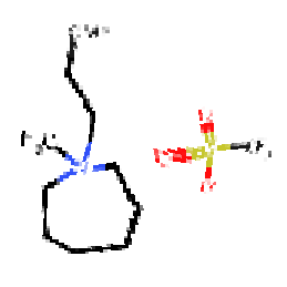 COCC[N+]1(C)CCCCCC1.O=S(=O)([O-])C(F)(F)F